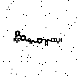 O=C(O)CCNCc1ccc(CC=NOCc2ccc(-c3ccccc3F)c(C(F)(F)F)c2)cc1